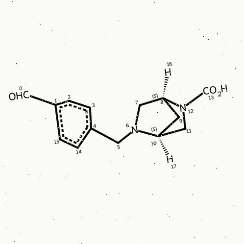 O=Cc1ccc(CN2C[C@@H]3C[C@H]2CN3C(=O)O)cc1